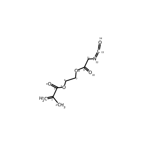 C=C(C)C(=O)OCCOC(=O)CN=C=O